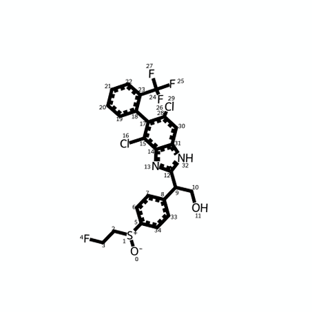 [O-][S+](CCF)c1ccc(C(CO)c2nc3c(Cl)c(-c4ccccc4C(F)(F)F)c(Cl)cc3[nH]2)cc1